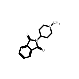 CN1CCC(N2C(=O)c3ccccc3C2=O)CC1